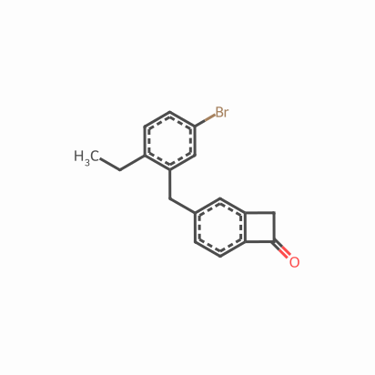 CCc1ccc(Br)cc1Cc1ccc2c(c1)CC2=O